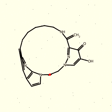 C=C1NCCCCCc2cnc3c(ccn3C3(CCCC3)Cn3cc(O)c(=O)c1n3)c2